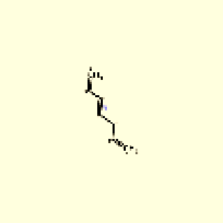 C=C/[C]=C/CC=C